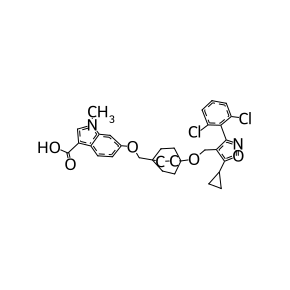 Cn1cc(C(=O)O)c2ccc(OCC34CCC(OCc5c(-c6c(Cl)cccc6Cl)noc5C5CC5)(CC3)CC4)cc21